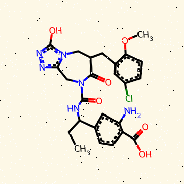 CCC(NC(=O)N1Cc2nnc(O)n2CC(Cc2cc(Cl)ccc2OC)C1=O)c1ccc(C(=O)O)c(N)c1